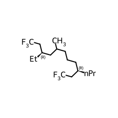 CCC[C@H](CCCC(C)C[C@@H](CC)CC(F)(F)F)CC(F)(F)F